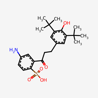 CC(C)(C)c1cc(CCC(=O)c2cc(N)ccc2S(=O)(=O)O)cc(C(C)(C)C)c1O